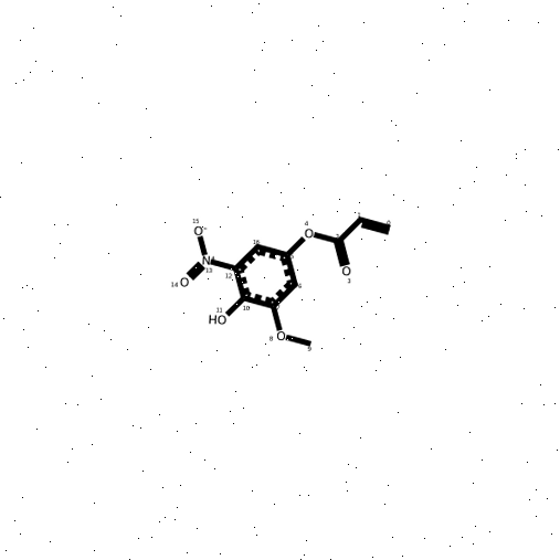 C=CC(=O)Oc1cc(OC)c(O)c([N+](=O)[O-])c1